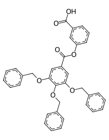 O=C(O)c1cccc(OC(=O)c2cc(OCc3ccccc3)c(OCc3ccccc3)c(OCc3ccccc3)c2)c1